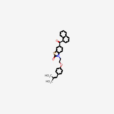 O=C(O)C(=Cc1ccc(OCCn2c(=O)sc3cc(C(=O)c4cccc5ccccc45)ccc32)cc1)C(=O)O